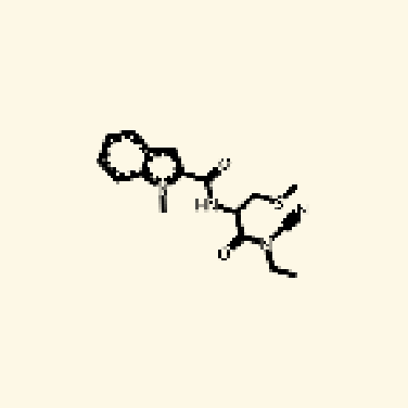 CCN(C#N)C(=O)C(CSC)NC(=O)c1cc2ccccc2n1C